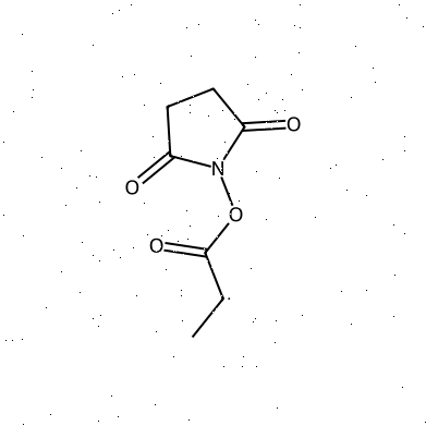 C[CH]C(=O)ON1C(=O)CCC1=O